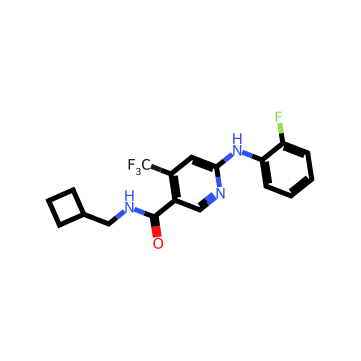 O=C(NCC1CCC1)c1cnc(Nc2ccccc2F)cc1C(F)(F)F